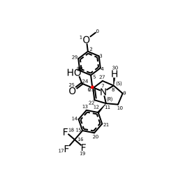 COc1ccc(CN2[C@H]3CC[C@]2(c2ccc(C(F)(F)F)cc2)C=C(C(=O)O)C3)cc1